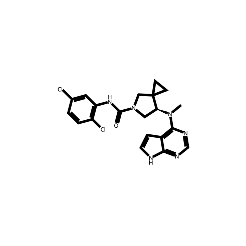 CN(c1ncnc2[nH]ccc12)[C@H]1CN(C(=O)Nc2cc(Cl)ccc2Cl)CC12CC2